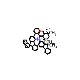 CC1(C)CCC(C)(C)c2c(N(c3ccc4c(c3)C(C)(C)c3ccccc3-4)c3c(-c4ccccc4)ccc4c3-c3ccccc3C43C4CC5CC(C4)C3C5)cccc21